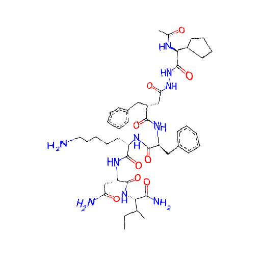 CCC(C)[C@H](NC(=O)[C@H](CC(N)=O)NC(=O)[C@H](CCCCCN)NC(=O)[C@H](Cc1ccccc1)NC(=O)[C@@H](CC(=O)NNC(=O)[C@@H](NC(C)=O)C1CCCC1)Cc1ccccc1)C(N)=O